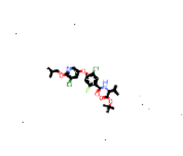 CC(C)COc1ncc(Oc2cc(F)c(C(=O)N[C@H](C(=O)OC(C)(C)C)C(C)C)cc2Cl)cc1Cl